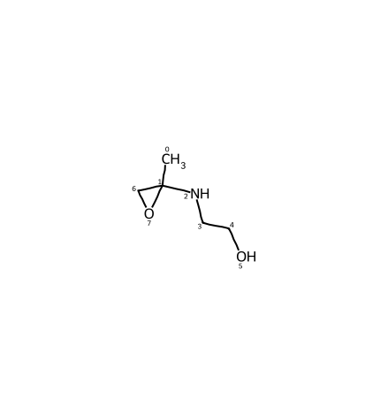 CC1(NCCO)CO1